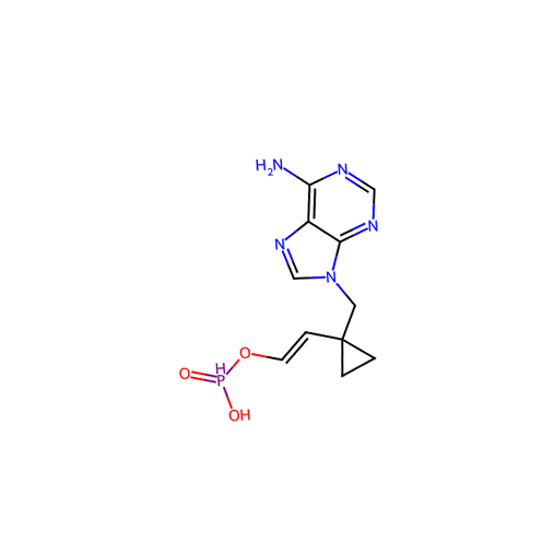 Nc1ncnc2c1ncn2CC1(C=CO[PH](=O)O)CC1